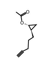 C#CCCC[C@@H]1C[C@H]1OC(C)=O